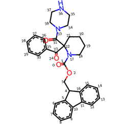 O=C(OCC1c2ccccc2-c2ccccc21)N1CCCCC1(C(=O)c1ccccc1)C(=O)N1CCNCC1